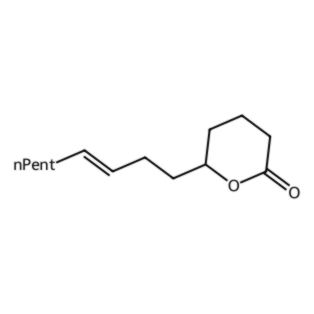 CCCCCC=CCCC1CCCC(=O)O1